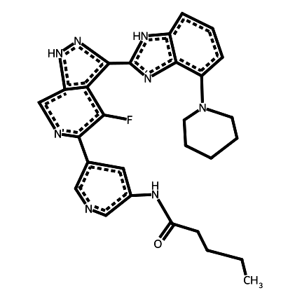 CCCCC(=O)Nc1cncc(-c2ncc3[nH]nc(-c4nc5c(N6CCCCC6)cccc5[nH]4)c3c2F)c1